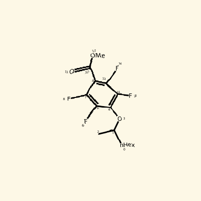 CCCCCCC(C)Oc1c(F)c(F)c(C(=O)OC)c(F)c1F